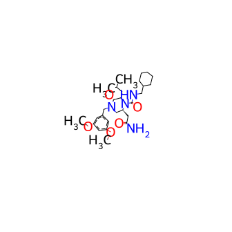 COc1cc(CN2C[C@H](CC(N)=O)N(C(=O)NCC3CCCCC3)[C@@H](CC(C)C)C2=O)cc(OC)c1